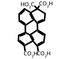 O=C(O)c1ccc2c3c4c(cccc4c4ccc(C(=O)O)c1c24)C(C(=O)O)(C(=O)O)CC=3